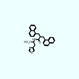 O=C(NC(Cc1cscn1)C(=O)O)C(Cc1cccc2ccccc12)Cc1cccc2ccccc12